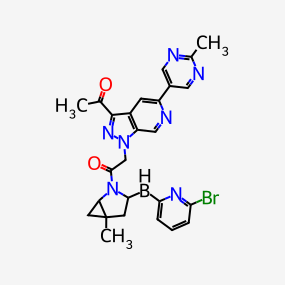 CC(=O)c1nn(CC(=O)N2C(Bc3cccc(Br)n3)CC3(C)CC23)c2cnc(-c3cnc(C)nc3)cc12